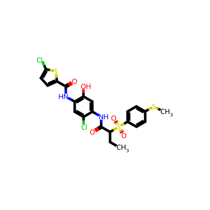 CCC(C(=O)Nc1cc(O)c(NC(=O)c2ccc(Cl)s2)cc1Cl)S(=O)(=O)c1ccc(SC)cc1